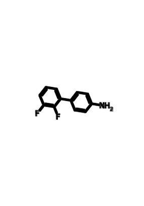 Nc1ccc(-c2cccc(F)c2F)cc1